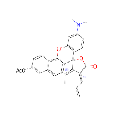 C=C/C=C1/C(=O)OC2(/C1=C/C)c1ccc(N(C)C)cc1Oc1c2ccc2cc(OC(C)=O)ccc12